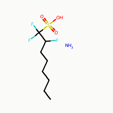 CCCCCCC(F)C(F)(F)S(=O)(=O)O.N